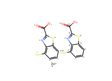 O=C([O-])c1nc2c(S)cccc2s1.O=C([O-])c1nc2c(S)cccc2s1.[Zn+2]